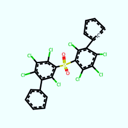 O=S(=O)(c1c(Cl)c(Cl)c(Cl)c(-c2ccccc2)c1Cl)c1c(Cl)c(Cl)c(Cl)c(-c2ccccc2)c1Cl